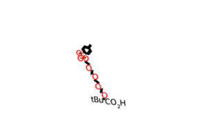 Cc1ccc(S(=O)(=O)OCCOCCOCCOCCOC(C(=O)O)C(C)(C)C)cc1